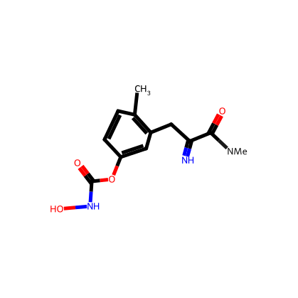 CNC(=O)C(=N)Cc1cc(OC(=O)NO)ccc1C